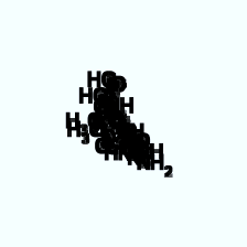 CC(=O)OCC[N+](C)(C)C.Nc1nc2c(c(=O)[nH]1)N(C=O)[C@@H](CNc1ccc(C(=O)NC(CCC(=O)O)C(=O)O)cc1)CN2